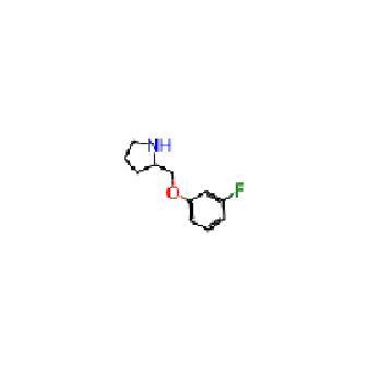 Fc1cccc(OCC2CCCN2)c1